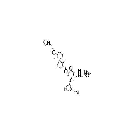 Cc1c(COc2cc(OCc3cncc(C#N)c3)c(CNCc3ncco3)cc2Cl)cccc1-c1cccc(OCCCN2CCCC2)c1C